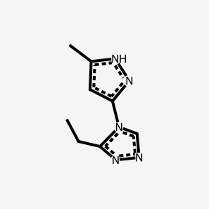 CCc1nncn1-c1cc(C)[nH]n1